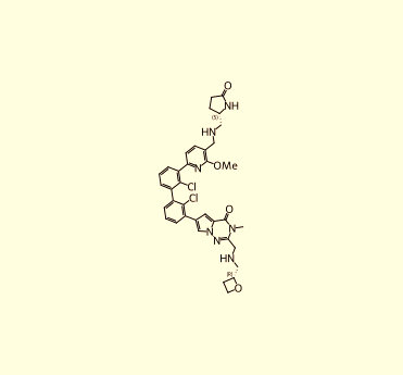 COc1nc(-c2cccc(-c3cccc(-c4cc5c(=O)n(C)c(CNC[C@H]6CCO6)nn5c4)c3Cl)c2Cl)ccc1CNC[C@@H]1CCC(=O)N1